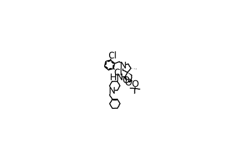 C[C@H]1CN(Cc2c(Cl)cccc2Cl)C[C@@]1(CC(=O)OC(C)(C)C)C(=O)NC1CCN(CC2=CCCCC2)CC1